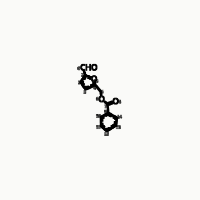 O=Cc1ccc(COC(=O)c2ccccc2)o1